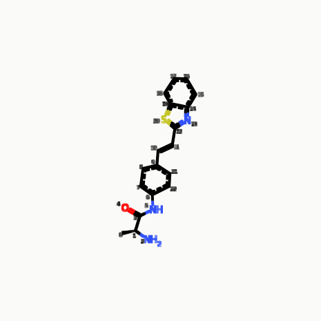 C[C@H](N)C(=O)Nc1ccc(C=Cc2nc3ccccc3s2)cc1